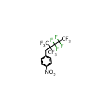 O=[N+]([O-])c1ccc(CC(C(F)(F)F)(C(F)(F)F)C(F)(F)C(F)(F)C(F)(F)F)cc1